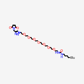 CC(C)(C)CCCCNC(=O)NCCOCCOCCOCCOCCOCCOCCOCCn1cc(CN2C(=O)C=CC2=O)nn1